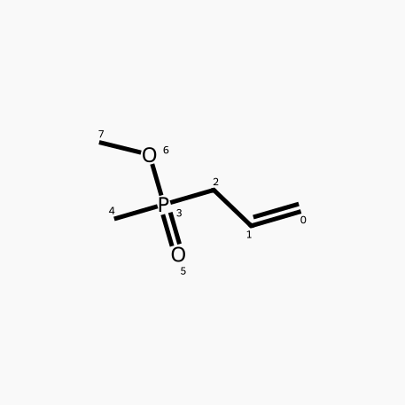 C=CCP(C)(=O)OC